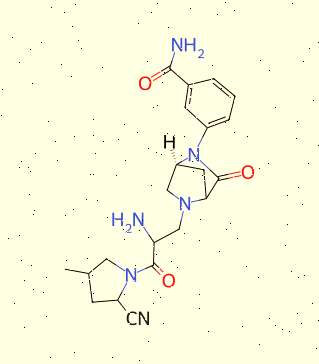 CC1CC(C#N)N(C(=O)C(N)CN2C[C@@H]3CC2C(=O)N3c2cccc(C(N)=O)c2)C1